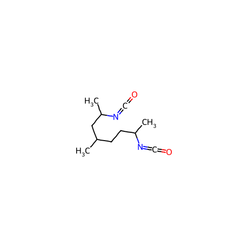 CC(CCC(C)N=C=O)CC(C)N=C=O